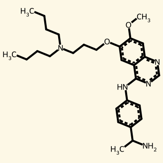 CCCCN(CCCC)CCCOc1cc2c(Nc3ccc(C(C)N)cc3)ncnc2cc1OC